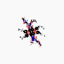 CCOCCC(C(=O)NCCC(=O)NCC1CO1)N1C(=O)c2cc(Oc3ccc(CC)cc3)c3c4c(Oc5ccc(CC)cc5)cc5c6c(cc(Oc7ccc(CC)cc7)c(c7c(Oc8ccc(CC)cc8)cc(c2c37)C1=O)c64)C(=O)N(C(CCOCC)C(=O)NCCC(=O)NCC1CO1)C5=O